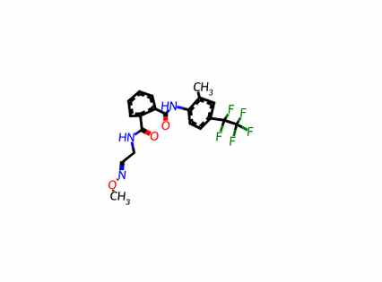 CO/N=C/CNC(=O)c1ccccc1C(=O)Nc1ccc(C(F)(F)C(F)(F)F)cc1C